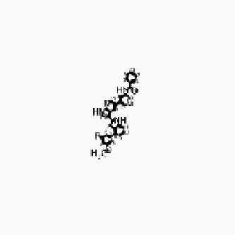 COc1cc(F)cc(-c2cccc3[nH]c(-c4n[nH]c5ncc(-c6cncc(NC(=O)c7ccccc7)c6)cc45)cc23)c1